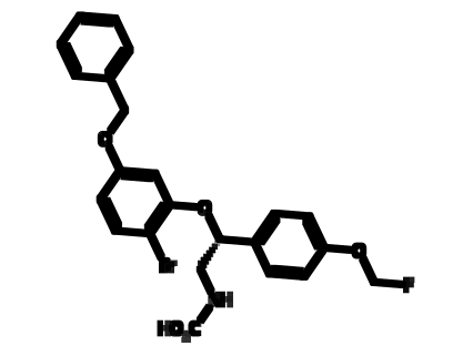 O=C(O)NC[C@H](Oc1cc(OCc2ccccc2)ccc1Br)c1ccc(OCF)cc1